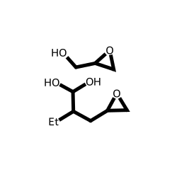 CCC(CC1CO1)C(O)O.OCC1CO1